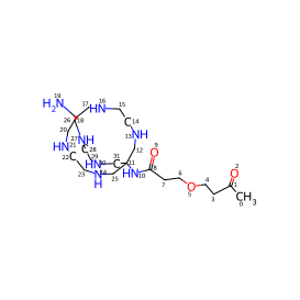 CC(=O)CCOCCC(=O)NC12CNCCNCC(N)(CNCCNC1)CNCCNC2